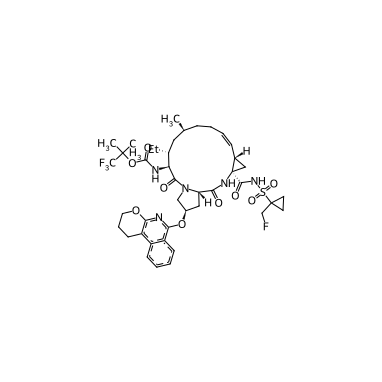 CC[C@@H]1C[C@@H](C)CC/C=C\[C@@H]2C[C@@]2(C(=O)NS(=O)(=O)C2(CF)CC2)NC(=O)[C@@H]2C[C@@H](Oc3nc4c(c5ccccc35)CCCO4)CN2C(=O)[C@H]1NC(=O)OC(C)(C)C(F)(F)F